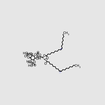 CCCCCCCC/C=C\CCCCCCCC(=O)OC[C@H](COP(=O)(O)OC1C(O)C(OP(=O)(O)O)C(O)[C@@H](OP(=O)(O)O)C1O)OC(=O)CCCCCCC/C=C\CCCCCCCC